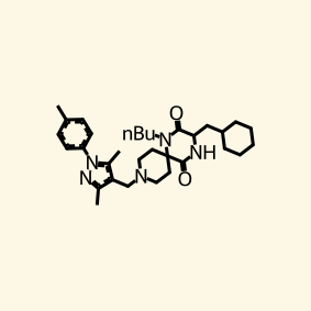 CCCCN1C(=O)C(CC2CCCCC2)NC(=O)C12CCN(Cc1c(C)nn(-c3ccc(C)cc3)c1C)CC2